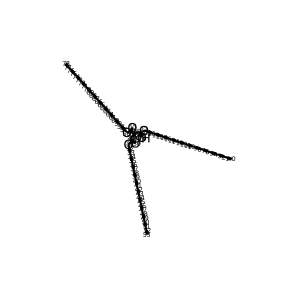 C#CC#CC#CC#CC#CC#CC#CC#CC#CC#CC#COC(=O)CC(O)(CC(=O)OC#CC#CC#CC#CC#CC#CC#CC#CC#CC#CC#C)C(=O)OC#CC#CC#CC#CC#CC#CC#CC#CC#CC#CC#C